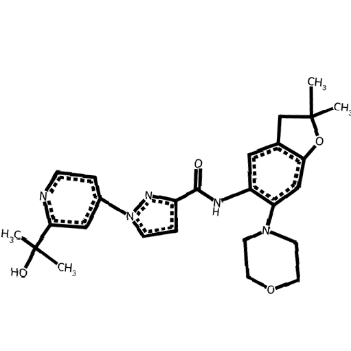 CC1(C)Cc2cc(NC(=O)c3ccn(-c4ccnc(C(C)(C)O)c4)n3)c(N3CCOCC3)cc2O1